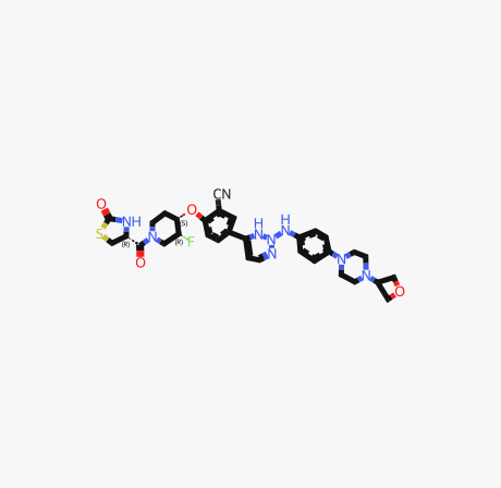 N#Cc1cc(C2=CC=NN(Nc3ccc(N4CCN(C5COC5)CC4)cc3)N2)ccc1O[C@H]1CCN(C(=O)[C@@H]2CSC(=O)N2)C[C@H]1F